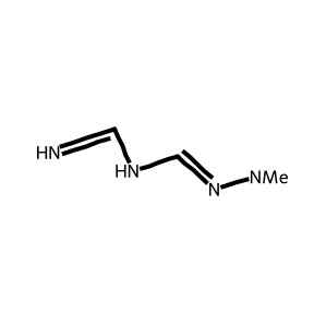 CN/N=C/NC=N